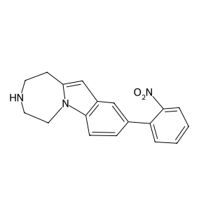 O=[N+]([O-])c1ccccc1-c1ccc2c(c1)cc1n2CCNCC1